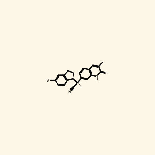 Cc1cc2ccc([C@@](C)(C#N)[C@@H]3CCc4cc(Br)ccc43)cc2[nH]c1=O